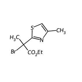 CCOC(=O)C(C)(Br)c1nc(C)cs1